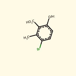 CC(=O)Oc1ccc(Br)c(C)c1C(=O)O